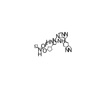 Cn1ncc2cc(-c3cnn4ccnc(Nc5cc([C@H]6CC[C@@H](OC(=O)NC78CC(C7)C8)[C@H]6F)[nH]n5)c34)ccc21